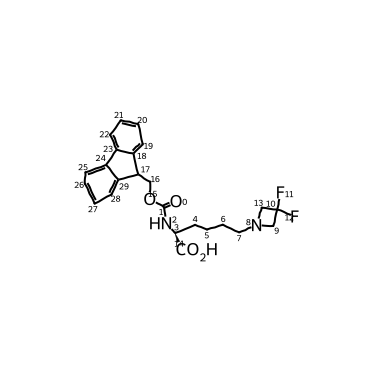 O=C(N[C@@H](CCCCN1CC(F)(F)C1)C(=O)O)OCC1c2ccccc2-c2ccccc21